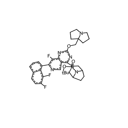 CC(C)(C)OC(=O)N1C2CCC1CN(c1nc(OCC34CCCN3CCC4)nc3c(F)c(-c4cccc5ccc(F)c(F)c45)ncc13)C2